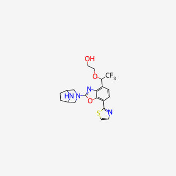 OCCOC(c1ccc(-c2nccs2)c2oc(N3CC4CCC(C3)N4)nc12)C(F)(F)F